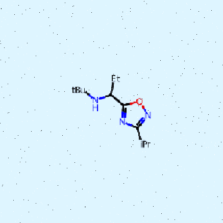 CCC(NC(C)(C)C)c1nc(C(C)C)no1